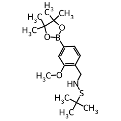 COc1cc(B2OC(C)(C)C(C)(C)O2)ccc1CNSC(C)(C)C